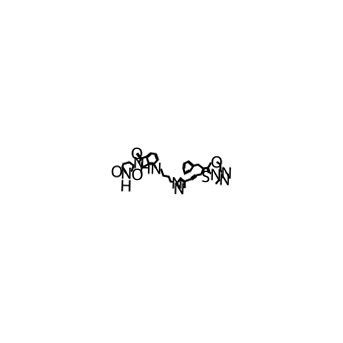 Cc1nnc2n1-c1sc(C#Cc3cnn(CCCCNc4cccc5c4CN(C4CCC(=O)NC4=O)C5=O)c3)c(Cc3ccccc3)c1COC2